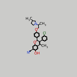 CC1=C(c2cccc(Cl)c2)C(c2ccc(OCC(C)N3CCC(C)C3)cc2)Oc2cc(C#N)c(O)cc21